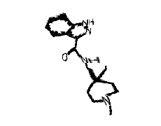 CN1CCC(C)(CNC(=O)c2n[nH]c3ccccc23)CC1